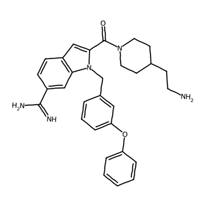 N=C(N)c1ccc2cc(C(=O)N3CCC(CCN)CC3)n(Cc3cccc(Oc4ccccc4)c3)c2c1